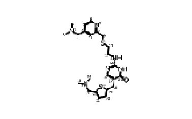 CN(C)Cc1ccnc(CSCCNc2ncc(Cc3ccc(CN(C)C)s3)c(=O)[nH]2)c1